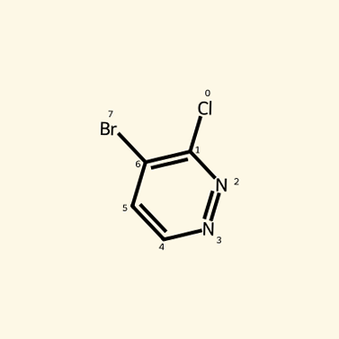 Clc1nnccc1Br